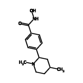 CC1CCN(C)C(c2ccc(C(=O)NO)cc2)C1